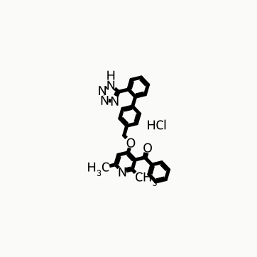 Cc1cc(OCc2ccc(-c3ccccc3-c3nnn[nH]3)cc2)c(C(=O)c2ccccc2)c(C)n1.Cl